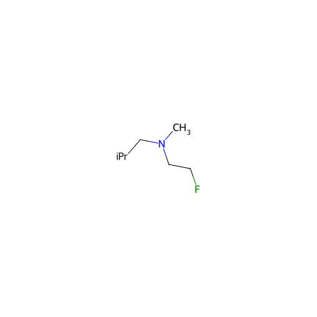 CC(C)CN(C)CCF